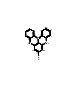 S=P12c3ccccc3Oc3cc(Cl)cc(c31)Oc1ccccc12